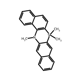 CN1c2cc3ccccc3cc2[Si](C)(C)c2ccc3ccccc3c21